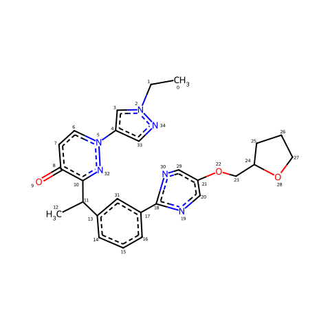 CCn1cc(-n2ccc(=O)c(C(C)c3cccc(-c4ncc(OCC5CCCO5)cn4)c3)n2)cn1